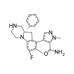 Cc1c(F)cc2c(c1-c1cnn(C)c1C(N)=O)C[C@]1(c3ccccc3)CNCCN21